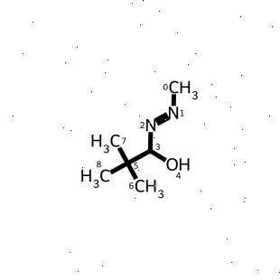 C/N=N/C(O)C(C)(C)C